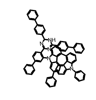 c1ccc(-c2ccc(C3=NC(c4ccc(-c5ccccc5)cc4-n4c5cc(-c6ccccc6)ccc5c5c(-c6cccc7c6c6ccccc6n7-c6ccccc6)cccc54)=NC(c4ccc(-c5ccccc5)cc4)N3)cc2)cc1